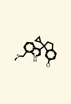 CSCc1cccc2c(C3(C4CC4)CCc4ccc(Cl)cc43)c[nH]c12